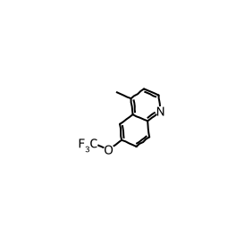 Cc1ccnc2ccc(OC(F)(F)F)cc12